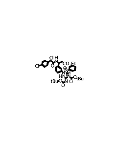 CCOC(=O)CC(NC(=O)C(Cl)c1ccc(Cl)cc1)c1cccc(N(NC(=NC(=O)OC(C)(C)C)NC(=O)OC(C)(C)C)S(=O)(=O)c2ccccc2)c1